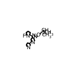 C[Si](C)(C)CCOCn1nc(-c2cccc(F)n2)c2cc(-c3cccnc3)ncc21